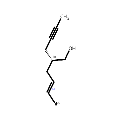 CC#CC[C@H](CO)C/C=C/C(C)C